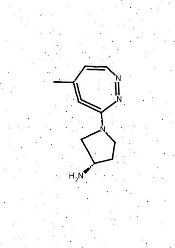 CC1=C=C(N2CC[C@@H](N)C2)N=NC=C1